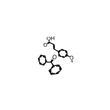 COc1ccc(C=CC(=O)O)cc1.O=C(c1ccccc1)c1ccccc1